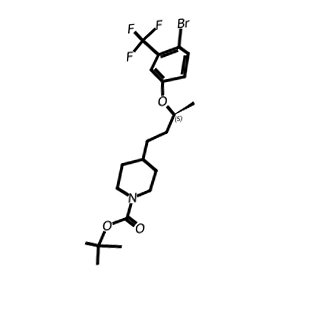 C[C@@H](CCC1CCN(C(=O)OC(C)(C)C)CC1)Oc1ccc(Br)c(C(F)(F)F)c1